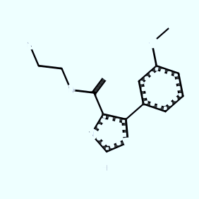 COc1cccc(-c2scnc2C(=O)NCCN)c1.Cl